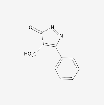 O=C(O)C1=C(c2ccccc2)N=NC1=O